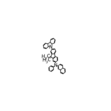 CC1(C)c2cc(N(C3=CC4C=CC=CC4C=C3)c3ccccc3)ccc2-c2ccc(N3C4C=CC=CC4C4C=CC=CC43)cc21